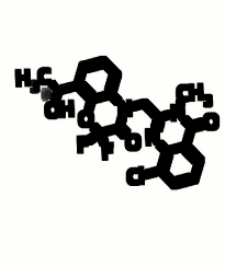 C[C@H](O)c1cccc2c1OC(F)(F)C(=O)N2Cc1nc2c(Cl)cccc2c(=O)n1C